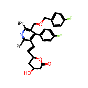 CC(C)c1nc(C(C)C)c(COCc2ccc(F)cc2)c(-c2ccc(F)cc2)c1C=CC1CC(O)CC(=O)O1